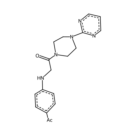 CC(=O)c1ccc(NCC(=O)N2CCN(c3ncccn3)CC2)cc1